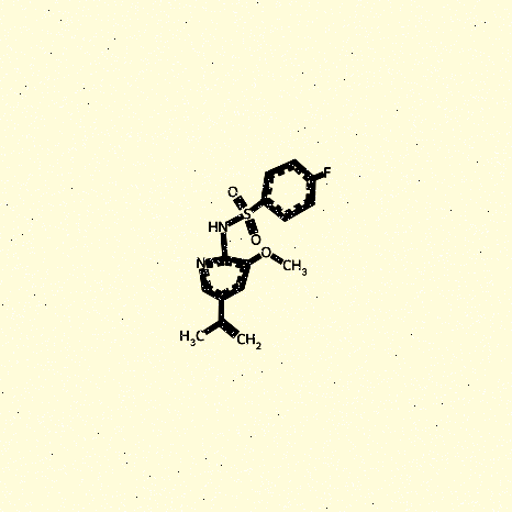 C=C(C)c1cnc(NS(=O)(=O)c2ccc(F)cc2)c(OC)c1